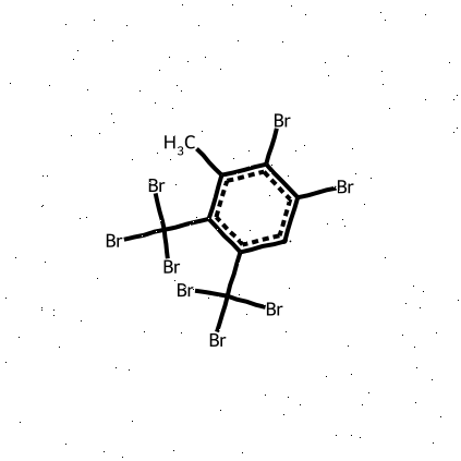 Cc1c(Br)c(Br)[c]c(C(Br)(Br)Br)c1C(Br)(Br)Br